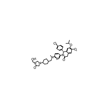 COc1cc2c(cc1OC(C)C)[C@H](c1ccc(Cl)cc1)N(c1ccc(N(C)CC3CCC(N4CC(=O)N(CO)C4)CC3)nc1)C(=O)C2